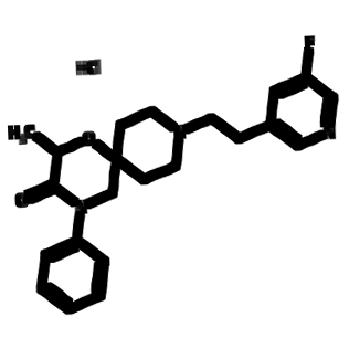 CC1OC2(CCN(CCc3cncc(F)c3)CC2)CN(c2ccccc2)C1=O.Cl